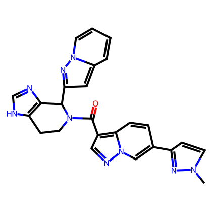 Cn1ccc(-c2ccc3c(C(=O)N4CCc5[nH]cnc5C4c4cc5ccccn5n4)cnn3c2)n1